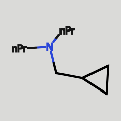 [CH2]CCN(CCC)CC1CC1